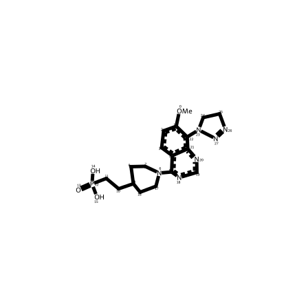 COc1ccc2c(N3CCC(CCP(=O)(O)O)CC3)ncnc2c1N1CCN=N1